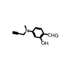 C#CCN(C)c1ccc(C=O)c(O)c1